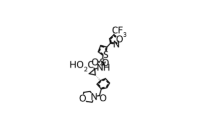 O=C(c1cccc([C@@H]2CC2(NS(=O)(=O)c2ccc(-c3cc(C(F)(F)F)on3)s2)C(=O)O)c1)N1CCOCC1